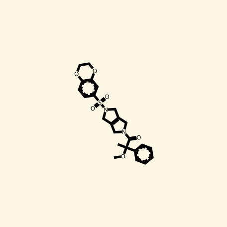 COC(C)(C(=O)N1CC2=C(C1)CN(S(=O)(=O)c1ccc3c(c1)OCCO3)C2)c1ccccc1